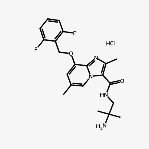 Cc1cc(OCc2c(F)cccc2F)c2nc(C)c(C(=O)NCC(C)(C)N)n2c1.Cl